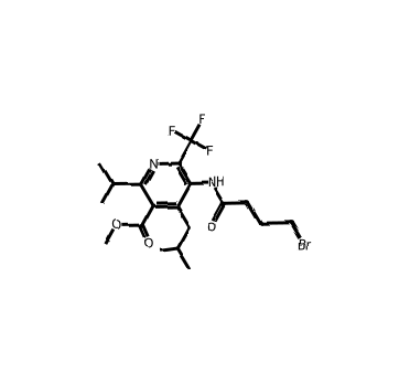 COC(=O)c1c(C(C)C)nc(C(F)(F)F)c(NC(=O)CCCBr)c1CC(C)C